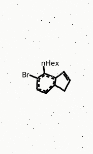 CCCCCCc1c(Br)ccc2c1C=CC2